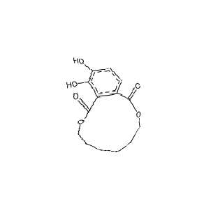 O=C1OCCCCCCOC(=O)c2c1ccc(O)c2O